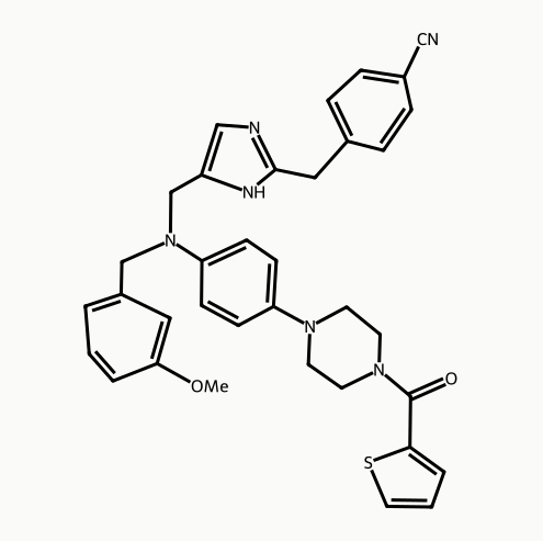 COc1cccc(CN(Cc2cnc(Cc3ccc(C#N)cc3)[nH]2)c2ccc(N3CCN(C(=O)c4cccs4)CC3)cc2)c1